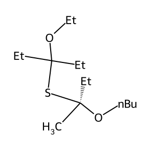 CCCCO[C@](C)(CC)SC(CC)(CC)OCC